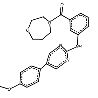 COc1ccc(-c2cnc(Nc3cccc(C(=O)N4CCCOCC4)c3)nc2)cc1